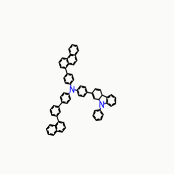 C1=CC2c3ccccc3N(c3ccccc3)C2C=C1c1ccc(N(c2ccc(-c3cccc(-c4cccc5ccccc45)c3)cc2)c2ccc(-c3cccc4c3ccc3ccccc34)cc2)cc1